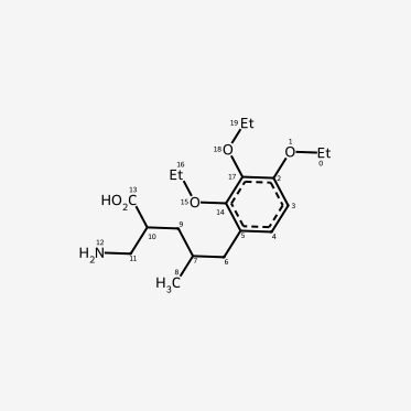 CCOc1ccc(CC(C)CC(CN)C(=O)O)c(OCC)c1OCC